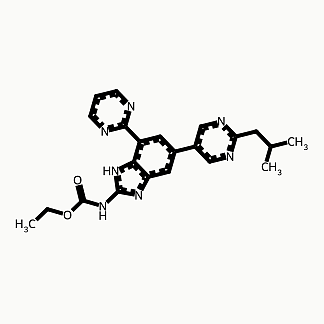 CCOC(=O)Nc1nc2cc(-c3cnc(CC(C)C)nc3)cc(-c3ncccn3)c2[nH]1